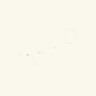 C[C@H](O)C=COCc1ccccc1